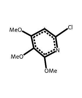 COc1[c]c(Cl)nc(OC)c1OC